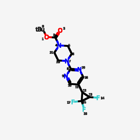 CC(C)(C)OC(=O)N1CCN(c2ncc(C3C(F)C3(F)F)cn2)CC1